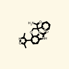 Cc1noc(C)c1-c1ccc2[nH]c(=O)n3c2c1OCC3(C(N)=O)c1ccccn1